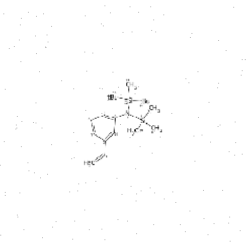 C=Cc1cccc(N([Si](C)(C)C)[Si](C)(C(C)(C)C)C(C)(C)C)c1